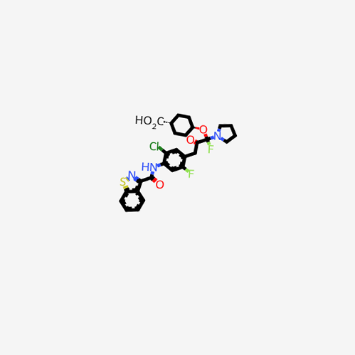 O=C(Nc1cc(F)c(CC(=O)C(F)(O[C@H]2CC[C@H](C(=O)O)CC2)N2CCCC2)cc1Cl)c1nsc2ccccc12